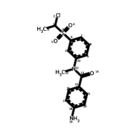 CC(Cl)S(=O)(=O)c1cccc(N(C)C(=O)c2[c]cc(N)cc2)c1